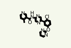 Cc1ccncc1C(=O)Nc1cnc(-c2cc(Oc3ncccn3)ccc2Cl)cn1